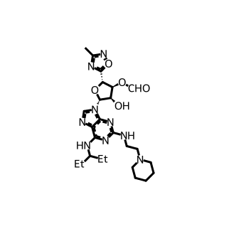 CCC(CC)Nc1nc(NCCN2CCCCC2)nc2c1ncn2[C@@H]1O[C@H](c2nc(C)no2)[C@@H](OC=O)[C@H]1O